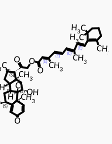 CC1=C(/C=C/C(C)=C/C=C/C(C)=C/C(=O)OCC(=O)[C@H]2[C@H](C)C[C@H]3[C@@H]4C[C@H](F)C5=CC(=O)C=C[C@]5(C)[C@@]4(Cl)[C@@H](O)C[C@@]32C)C(C)(C)CCC1